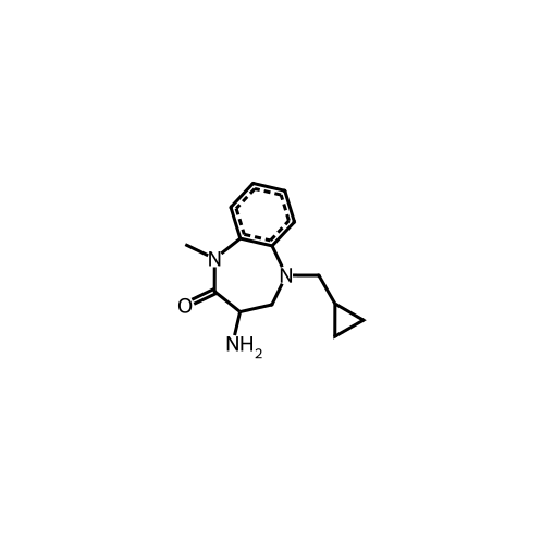 CN1C(=O)C(N)CN(CC2CC2)c2ccccc21